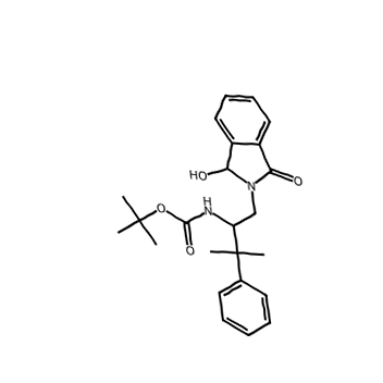 CC(C)(C)OC(=O)NC(CN1C(=O)c2ccccc2C1O)C(C)(C)c1ccccc1